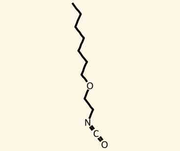 CCCCCCCOCCN=C=O